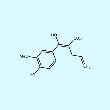 C=CCC(C(=O)O)=C(O)c1ccc(O)c(OC)c1